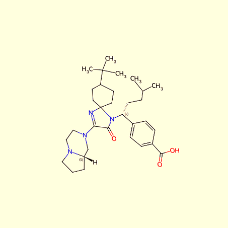 CC(C)CC[C@H](c1ccc(C(=O)O)cc1)N1C(=O)C(N2CCN3CCC[C@H]3C2)=NC12CCC(C(C)(C)C)CC2